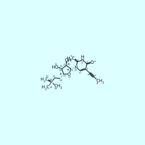 C=C1NC(=O)C(C#CC)=CN1[C@@H]1O[C@H](CCP(=C)(C)C)[C@@H](O)[C@H]1O